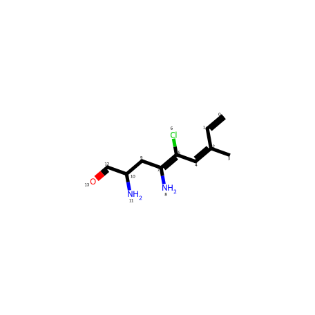 C=C/C(C)=C\C(Cl)=C(/N)CC(N)C=O